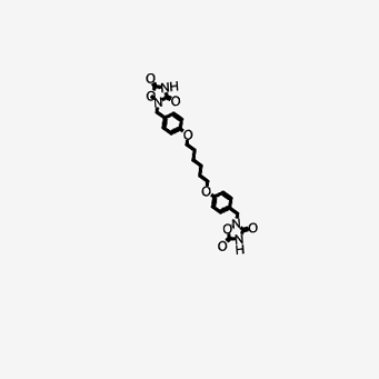 O=c1[nH]c(=O)n(Cc2ccc(OCCCCCCOc3ccc(Cn4oc(=O)[nH]c4=O)cc3)cc2)o1